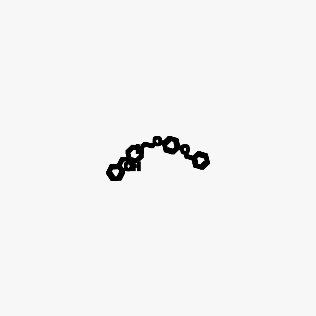 OC1(Cc2ccccc2)CCN(CCOc2ccc(OCc3ccccc3)cc2)CC1